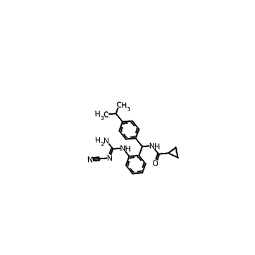 CC(C)c1ccc(C(NC(=O)C2CC2)c2ccccc2NC(N)=NC#N)cc1